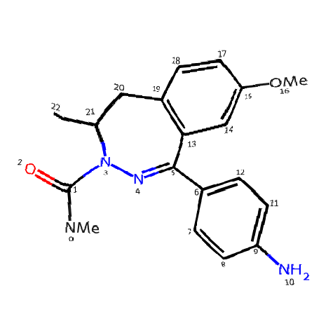 CNC(=O)N1N=C(c2ccc(N)cc2)c2cc(OC)ccc2CC1C